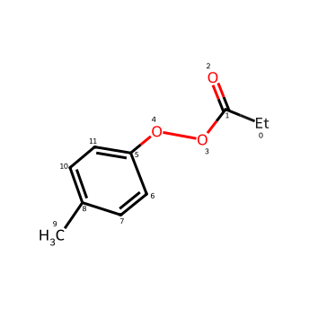 CCC(=O)OOc1ccc(C)cc1